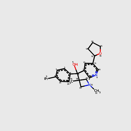 CC(C)c1ccc(C(O)(c2cncc(C3CCCO3)c2)C2(C)CN(C)C2)cc1